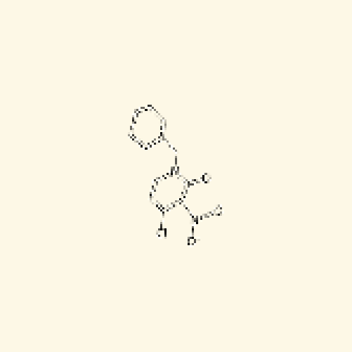 O=c1c([N+](=O)[O-])c(Cl)ccn1Cc1ccccc1